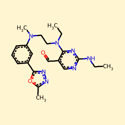 CCNc1ncc(C=O)c(N(CC)CCN(C)c2cccc(-c3nnc(C)o3)c2)n1